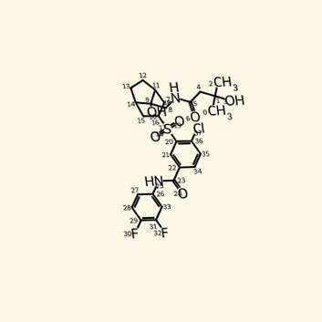 CC(C)(O)CC(=O)NCC1(O)C2CCC1CC(S(=O)(=O)c1cc(C(=O)Nc3ccc(F)c(F)c3)ccc1Cl)C2